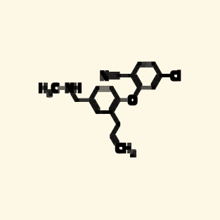 C=CCc1cc(CNC)ccc1Oc1cc(Cl)ccc1C#N